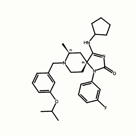 CC(C)Oc1cccc(CN2CC[C@@]3(C[C@@H]2C)C(NC2CCCC2)=NC(=O)N3c2cccc(F)c2)c1